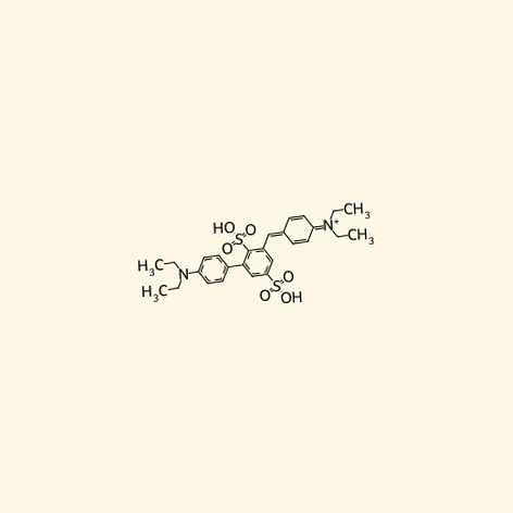 CCN(CC)c1ccc(-c2cc(S(=O)(=O)O)cc(C=C3C=CC(=[N+](CC)CC)C=C3)c2S(=O)(=O)O)cc1